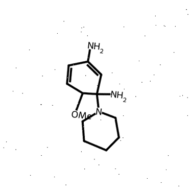 COC1C=CC(N)=CC1(N)N1CCCCC1